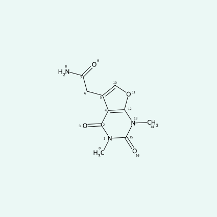 Cn1c(=O)c2c(CC(N)=O)coc2n(C)c1=O